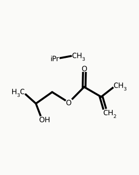 C=C(C)C(=O)OCC(C)O.CC(C)C